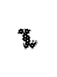 Cc1cccc(-n2c3ccc(C)cc3c3c4ccc5cc6c(c7ccc(cc32)c4c57)c2ncccc2n6-c2cccc(C(F)(F)F)c2)c1